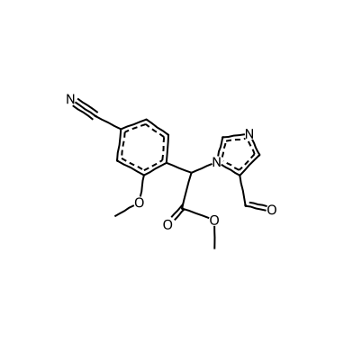 COC(=O)C(c1ccc(C#N)cc1OC)n1cncc1C=O